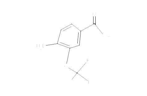 Bc1ccc(C(=O)O)cc1OC(F)(F)F